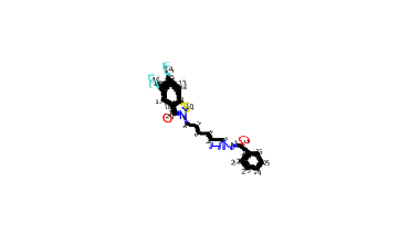 O=C(NCCCCCCn1sc2cc(F)c(F)cc2c1=O)c1ccccc1